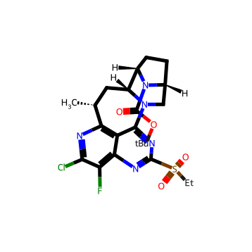 CCS(=O)(=O)c1nc2c3c(nc(Cl)c(F)c3n1)[C@H](C)C[C@@H]1[C@@H]3CC[C@H](CN21)N3C(=O)OC(C)(C)C